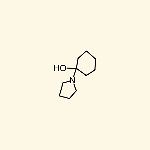 OC1(N2CCCC2)CCCCC1